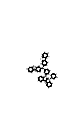 c1ccc(-n2c3ccccc3c3c4ccccc4n(-c4cccc(N(c5ccc6c(c5)oc5ccccc56)c5ccc6c(c5)oc5ccccc56)c4)c32)cc1